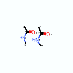 CNC(C)=O.CNC(C)=O